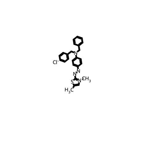 Cc1c[n+](C)c(/N=N/c2ccc(N(Cc3ccccc3)Cc3ccccc3)cc2)s1.[Cl-]